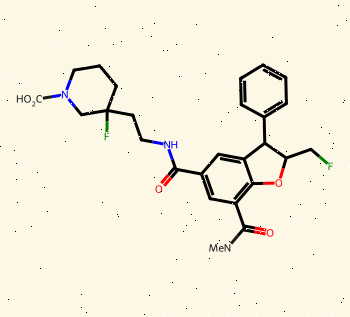 CNC(=O)c1cc(C(=O)NCCC2(F)CCCN(C(=O)O)C2)cc2c1OC(CF)C2c1ccccc1